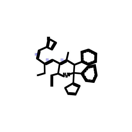 C=CC(C)C(/C=C(/C=C\C1=NC=C1)CC)=C(/C)C(c1ccccc1)C(N)(C1=CC=CC1)c1ccccc1